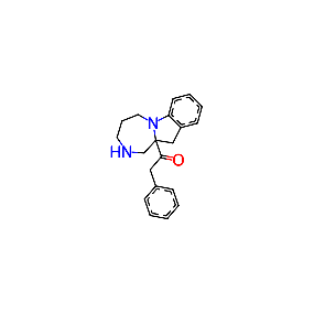 O=C(Cc1ccccc1)C12CNCCCN1c1ccccc1C2